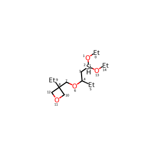 CCO[SiH](CC(CC)OCC1(CC)COC1)OCC